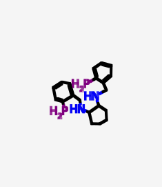 Pc1ccccc1CNC1CCCCC1NCc1ccccc1P